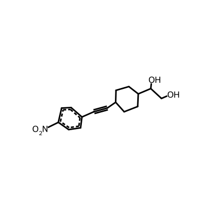 O=[N+]([O-])c1ccc(C#CC2CCC(C(O)CO)CC2)cc1